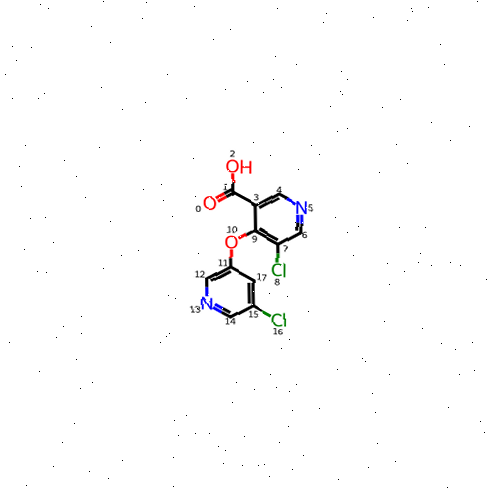 O=C(O)c1cncc(Cl)c1Oc1cncc(Cl)c1